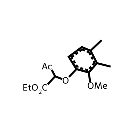 CCOC(=O)C(Oc1ccc(C)c(C)c1OC)C(C)=O